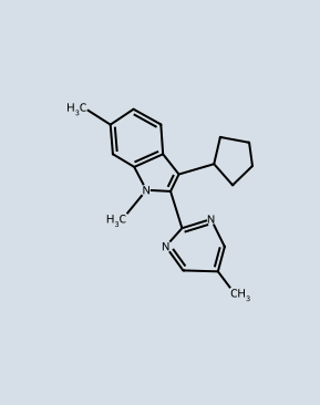 Cc1cnc(-c2c(C3CCCC3)c3ccc(C)cc3n2C)nc1